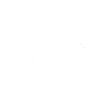 Cc1cc(-c2ccc(OCc3ccccc3)c(O)c2)c(C)cc1-c1ccc(N(C)C)cc1